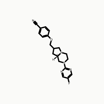 N#Cc1ccc(OCC2C[C@H]3CN(c4ncc(F)cn4)CCN3C2)cc1